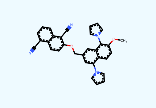 COc1ccc2c(-n3cccc3)cc(COc3ccc4c(C#N)cccc4c3C#N)cc2c1-n1cccc1